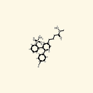 CN(O)C(=O)CCCc1cnc(-c2ccc(F)cc2)c(-c2ccccc2S(N)(=O)=O)c1